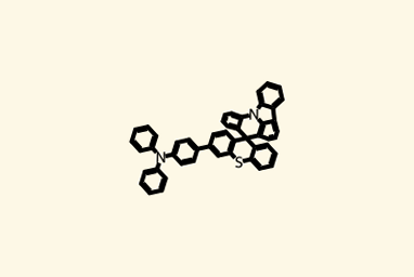 c1ccc(N(c2ccccc2)c2ccc(-c3ccc4c(c3)Sc3ccccc3C43c4ccccc4-n4c5ccccc5c5cccc3c54)cc2)cc1